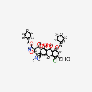 CN(C)[C@@H]1c2onc(OCc3ccccc3)c2C(=O)[C@@]2(O)C(O)=C3C(=O)c4c(OCc5ccccc5)cc(C=O)c(Cl)c4CC3C[C@@H]12